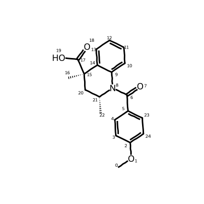 COc1ccc(C(=O)N2c3ccccc3[C@](C)(C(=O)O)C[C@H]2C)cc1